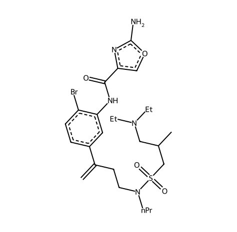 C=C(CCN(CCC)S(=O)(=O)CC(C)CN(CC)CC)c1ccc(Br)c(NC(=O)c2coc(N)n2)c1